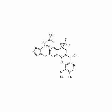 CCOc1cc([C@@H](C)N2C[C@]3(CC3(F)F)c3c(CN(C)C)cc(Cn4ccnc4NC)cc3C2=O)ncc1C#N